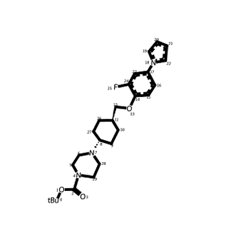 CC(C)(C)OC(=O)N1CCN([C@H]2CC[C@H](COc3ccc(-n4cccc4)cc3F)CC2)CC1